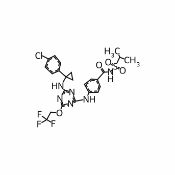 CC(C)S(=O)(=O)NC(=O)c1ccc(Nc2nc(NC3(c4ccc(Cl)cc4)CC3)nc(OCC(F)(F)F)n2)cc1